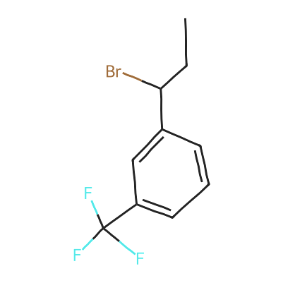 CCC(Br)c1cccc(C(F)(F)F)c1